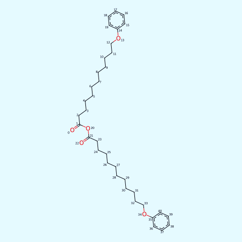 O=C(CCCCCCCCCCCOc1ccccc1)OC(=O)CCCCCCCCCCCOc1ccccc1